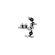 C[C@H](NC(=O)C1C[C@H](c2cccc(CO)c2)CN1)C(=O)NCc1ccc(C(=N)N)cc1.O=C(O)C(F)(F)F.O=C(O)C(F)(F)F